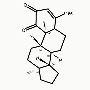 CC(=O)OC1=CC(=O)C(=O)[C@@]2(C)C1CC[C@H]1[C@@H]3CCC[C@@]3(C)CC[C@@H]12